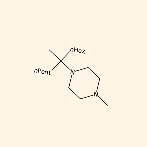 CCCCCCC(C)(CCCCC)N1CCN(C)CC1